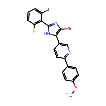 Fc1cccc(Cl)c1-c1nc(Br)c(-c2ccc(-c3ccc(OC(F)(F)F)cc3)nc2)[nH]1